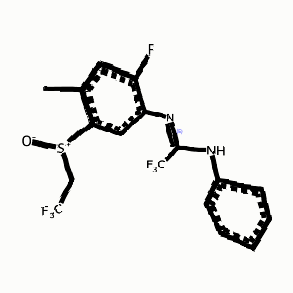 Cc1cc(F)c(/N=C(/Nc2ccccc2)C(F)(F)F)cc1[S+]([O-])CC(F)(F)F